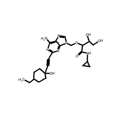 CCC1CCC(O)(C#Cc2nc(N)c3ncn(COC(C(=O)NC4CC4)C(O)CO)c3n2)CC1